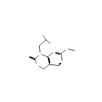 CSc1ncc2c(n1)N(CC(F)F)C(=O)OC2